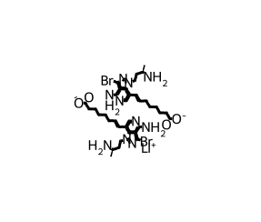 COC(=O)CCCCC/C=C/c1cnc(N)c2c(Br)nn(CC[C@@H](C)N)c12.C[C@@H](N)CCn1nc(Br)c2c(N)ncc(/C=C/CCCCCC(=O)[O-])c21.[Li+]